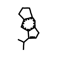 CC(C)C1=C[CH]c2cc3c(cc21)CCC3